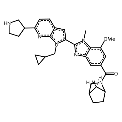 COc1cc(C(=O)N2CC3CCC2[C@@H]3N)cc2nc(-c3cc4ccc(C5CCNC5)nc4n3CC3CC3)n(C)c12